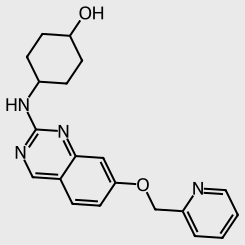 OC1CCC(Nc2ncc3ccc(OCc4ccccn4)cc3n2)CC1